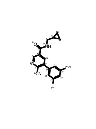 N#Cc1ncc(C(=O)NCC2CC2)cc1-c1cc(F)cc(F)c1